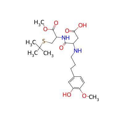 COC(=O)C(CSC(C)(C)C)NC(=O)C(CC(=O)O)NCCCc1ccc(OC)c(O)c1